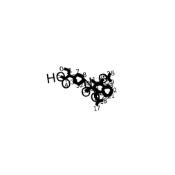 CCC(C(=O)O)c1ccc(N2Cc3c(c(OC(C)C)c4ccccc4c3OC(C)C)C2=O)cc1